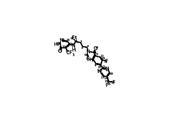 CC[C@@H](CCCn1cnc2cc(-c3ncc(C(F)F)cn3)c(F)cc2c1=O)Nc1cn[nH]c(=O)c1C(F)(F)F